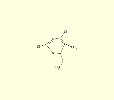 CCc1nc(Cl)nc(Cl)c1C